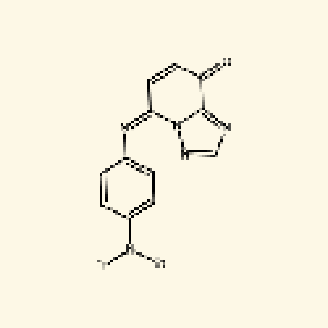 CCN(CC)c1ccc(/N=C2/C=CC(=O)c3ncnn32)cc1